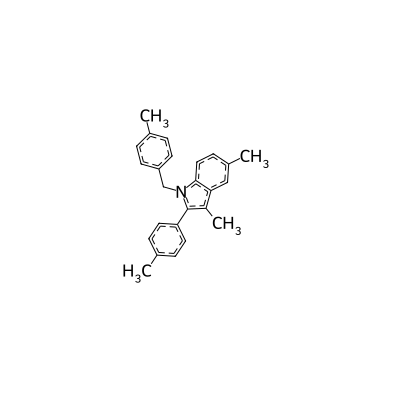 Cc1ccc(Cn2c(-c3ccc(C)cc3)c(C)c3cc(C)ccc32)cc1